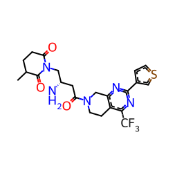 CC1CCC(=O)N(C[C@@H](N)CC(=O)N2CCc3c(nc(-c4ccsc4)nc3C(F)(F)F)C2)C1=O